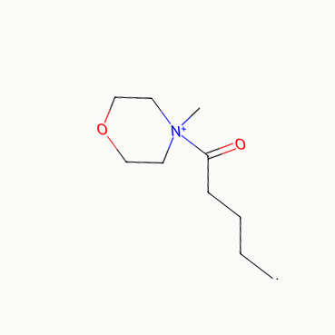 [CH2]CCCC(=O)[N+]1(C)CCOCC1